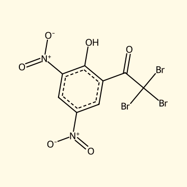 O=C(c1cc([N+](=O)[O-])cc([N+](=O)[O-])c1O)C(Br)(Br)Br